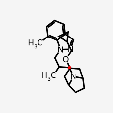 Cc1cccc2cnn(CC(C)CN3C4CCC3CC(OCC3CC3)C4)c12